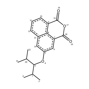 CC(C)C(Oc1cc2c3c(cccc3c1)C(=O)OC2=O)C(C)C